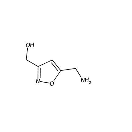 NCc1cc(CO)no1